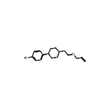 C=CCOCCC1CCC(c2ccc(C#N)cc2)CC1